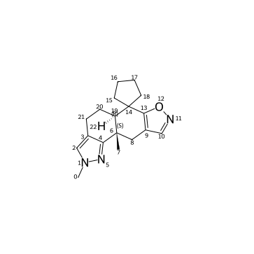 Cn1cc2c(n1)[C@@]1(C)Cc3cnoc3C3(CCCC3)[C@@H]1CC2